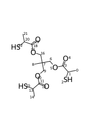 CC(S)C(=O)OCC(C)(COC(=O)C(C)S)COC(=O)C(C)S